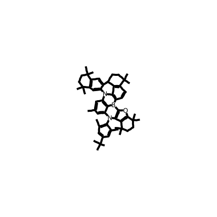 Cc1cc2c3c(c1)N(c1c(C)cc(C(C)(C)C)cc1C)c1c(oc4c1C(C)(C)CCC4(C)C)B3c1ccc3c4c1N2c1cc2c(cc1C4(C)CCC3(C)C)C(C)(C)CCC2(C)C